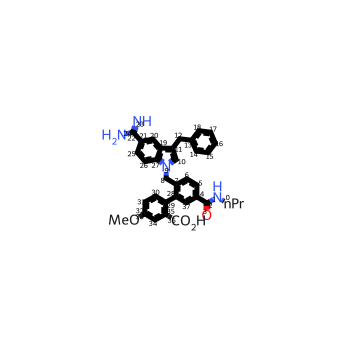 CCCNC(=O)c1ccc(Cn2cc(Cc3ccccc3)c3cc(C(=N)N)ccc32)c(-c2ccc(OC)cc2C(=O)O)c1